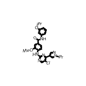 COc1cc(C(=O)Nc2cccc(OC(C)C)c2)ccc1Nc1ncc(Cl)c(-c2cnn(C(C)C)c2)n1